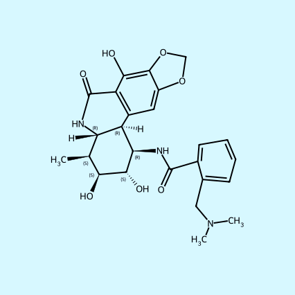 C[C@@H]1[C@H](O)[C@@H](O)[C@H](NC(=O)c2ccccc2CN(C)C)[C@@H]2c3cc4c(c(O)c3C(=O)N[C@@H]12)OCO4